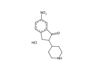 Cl.O=C1c2cc([N+](=O)[O-])ccc2CC1C1CCNCC1